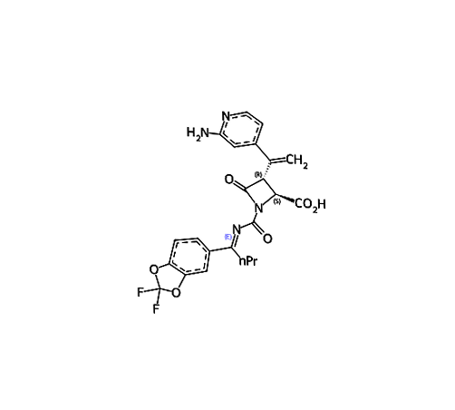 C=C(c1ccnc(N)c1)[C@H]1C(=O)N(C(=O)/N=C(\CCC)c2ccc3c(c2)OC(F)(F)O3)[C@@H]1C(=O)O